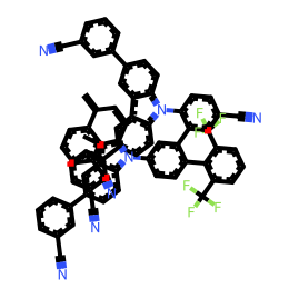 C=C(/C=C\c1c(C)c2cc(-c3cccc(C#N)c3)ccc2n1-c1ccc(-c2c(C(F)(F)F)cccc2C(F)(F)F)c(-c2cc(C#N)ccc2-n2c3ccc(-c4cccc(C#N)c4)cc3c3cc(-c4cccc(C#N)c4)ccc32)c1)c1cccc(C#N)c1